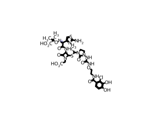 CC(SC1[C@H](NC(=O)/C(=N\OC(C)(C)C(=O)O)c2csc(N)n2)C(=O)N1CC(=O)O)N1CCN(NC(=O)NOCCNC(=O)c2ccc(O)c(O)c2Cl)C1=O